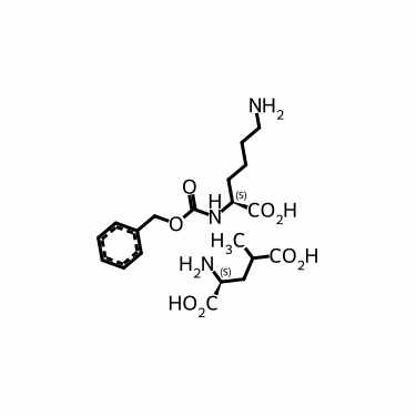 CC(C[C@H](N)C(=O)O)C(=O)O.NCCCC[C@H](NC(=O)OCc1ccccc1)C(=O)O